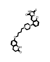 O=C1CCc2ccc(OCCCCN3CCN(c4cccc(Cl)c4/C=C4\SC(=S)NC4=O)CC3)cc2N1